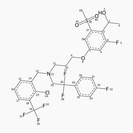 CC(O)c1c(F)cc(OCCCN(Cc2cccc(C(F)(F)F)c2Cl)CC(F)(F)c2ccc(F)cc2)cc1S(C)(=O)=O